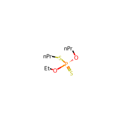 CCCO[P@](=S)(OCC)SCCC